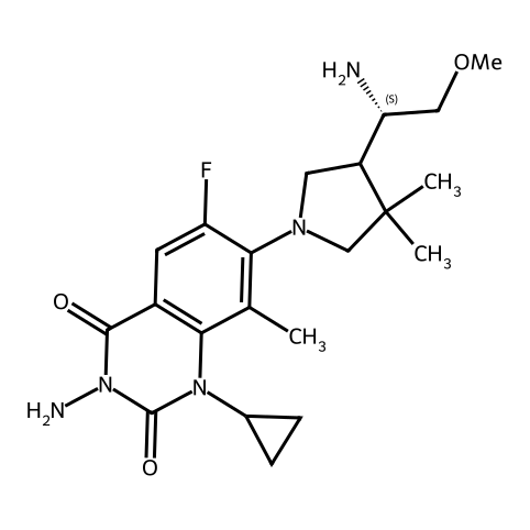 COC[C@@H](N)C1CN(c2c(F)cc3c(=O)n(N)c(=O)n(C4CC4)c3c2C)CC1(C)C